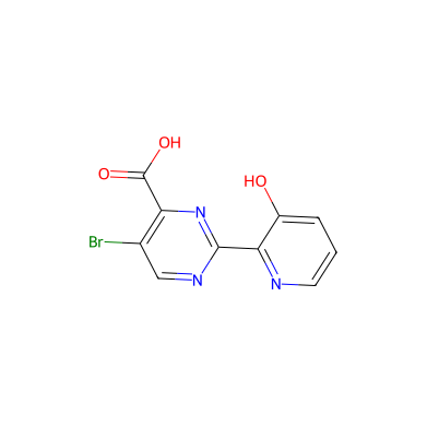 O=C(O)c1nc(-c2ncccc2O)ncc1Br